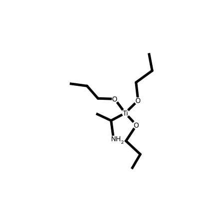 CCC[O][Ti]([O]CCC)([O]CCC)[CH](C)N